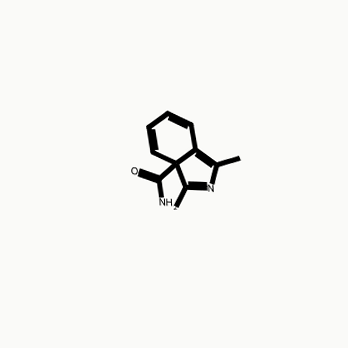 CC1=NC(C)=C2C=CC=CC12C(N)=O